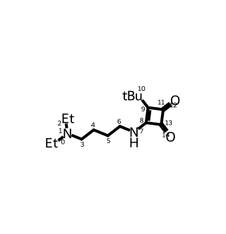 CCN(CC)CCCCNc1c(C(C)(C)C)c(=O)c1=O